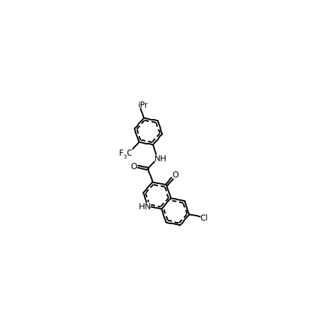 CC(C)c1ccc(NC(=O)c2c[nH]c3ccc(Cl)cc3c2=O)c(C(F)(F)F)c1